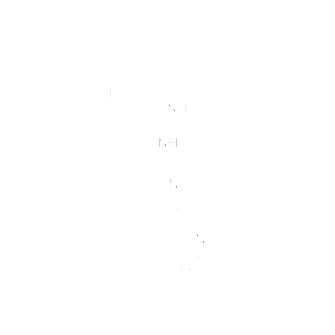 O=C1CCCN1CC[C@@H]1CSC(c2cc3cc(F)cc(NC4CCCC4)c3[nH]2)=N1